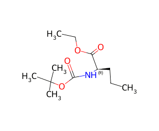 CCC[C@@H](NC(=O)OC(C)(C)C)C(=O)OCC